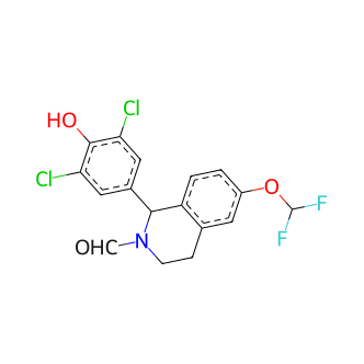 O=CN1CCc2cc(OC(F)F)ccc2C1c1cc(Cl)c(O)c(Cl)c1